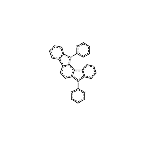 c1ccc(-n2c3ccccc3c3ccc4c(c5ccccc5n4-c4ncccn4)c32)nc1